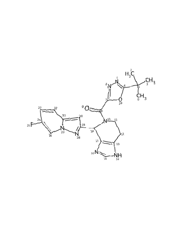 CC(C)(C)c1nnc(C(=O)N2CCc3[nH]cnc3C2c2cc3ccc(F)cn3n2)o1